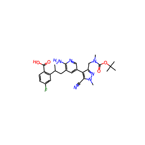 CC(Cc1cc(-c2c(CN(C)C(=O)OC(C)(C)C)nn(C)c2C#N)cnc1N)c1cc(F)ccc1C(=O)O